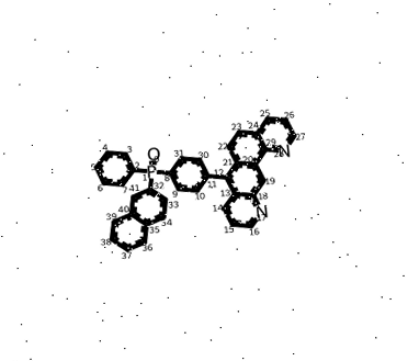 O=P(c1ccccc1)(c1ccc(-c2c3cccnc3cc3c2ccc2cccnc23)cc1)c1ccc2ccccc2c1